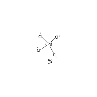 [Ag].[Cl][Pd]([Cl])([Cl])[Cl]